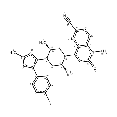 Cc1nc(-c2ccc(F)cc2)c(N2C[C@H](C)N(c3cc(=O)n(C)c4ccc(C#N)nc34)C[C@@H]2C)s1